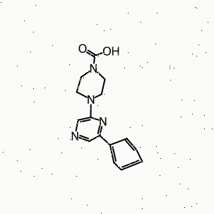 O=C(O)N1CCN(c2cncc(-c3ccccc3)n2)CC1